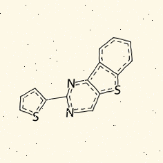 c1csc(-c2ncc3sc4ccccc4c3n2)c1